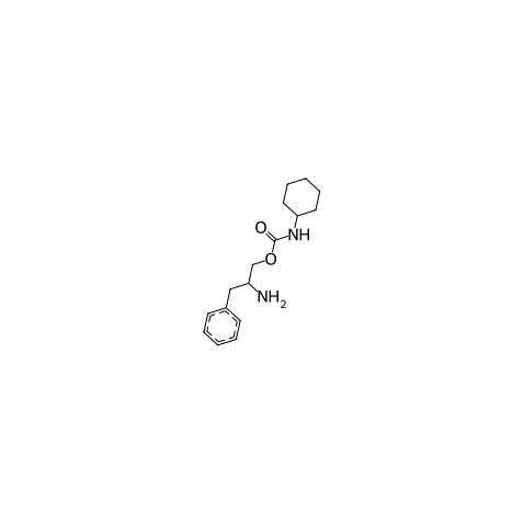 NC(COC(=O)NC1CCCCC1)Cc1ccccc1